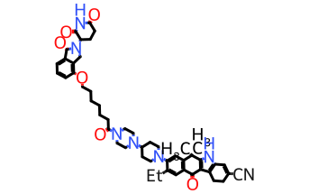 CCc1cc2c(cc1N1CCC(N3CCN(C(=O)CCCCCCOc4cccc5c4CN(C4CCC(=O)NC4=O)C5=O)CC3)CC1)C(C)(C)c1[nH]c3c(c1C2=O)CCC(C#N)=C3